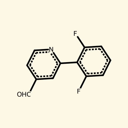 O=Cc1ccnc(-c2c(F)cccc2F)c1